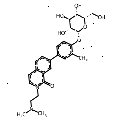 Cc1cc(-c2ccc3ccn(CCN(C)C)c(=O)c3c2)ccc1O[C@H]1O[C@@H](CO)[C@@H](O)[C@H](O)[C@H]1O